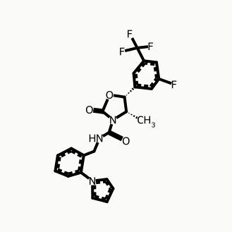 C[C@H]1[C@@H](c2cc(F)cc(C(F)(F)F)c2)OC(=O)N1C(=O)NCc1ccccc1-n1cccc1